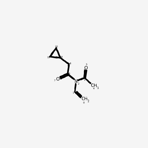 C=CN(C(C)=O)C(=O)CC1CC1